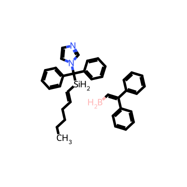 BC=C(c1ccccc1)c1ccccc1.CCCCC=C[SiH2]C(c1ccccc1)(c1ccccc1)n1ccnc1